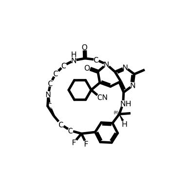 Cc1nc2c3cc(C4(C#N)CCCCC4)c(=O)n(c3n1)CC(=O)NCCCN1CC(CCC(F)(F)c3cccc(c3)[C@@H](C)N2)C1